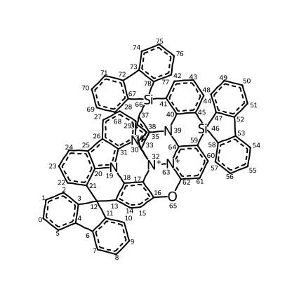 c1ccc2c(c1)-c1ccccc1C21c2ccc3c4c2-n2c5c1cccc5c1ccc[n+](c12)[N+]41c2cccc4c2N2c5c(cccc5[Si]5(c6ccccc6-c6ccccc65)c5ccc([n+]1c52)O3)[Si]41c2ccccc2-c2ccccc21